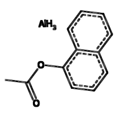 CC(=O)Oc1cccc2ccccc12.[AlH3]